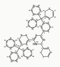 C1=CCCC(C2N=C(c3cccc(C(C4=CC=CCC4)(c4ccccc4)c4ccccc4)c3)C=C(C3=CC(C(c4ccccc4)(c4ccccc4)c4ccccc4)=CCC3)N2)=C1